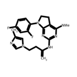 C=C(CCn1cnc(C)c1)Nc1nc(NC)c2c(n1)N(c1ccc(F)cc1F)CC2